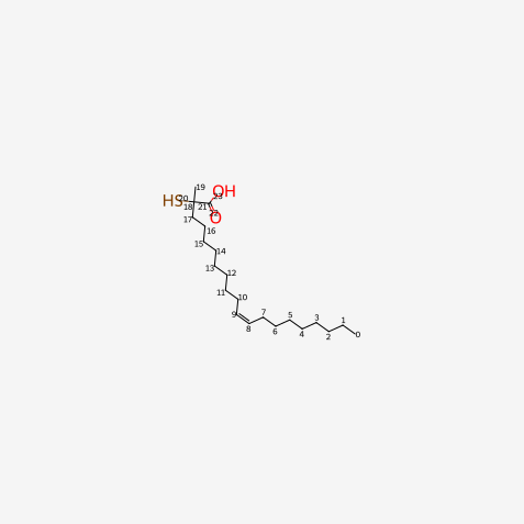 CCCCCCCC/C=C\CCCCCCCCC(C)(S)C(=O)O